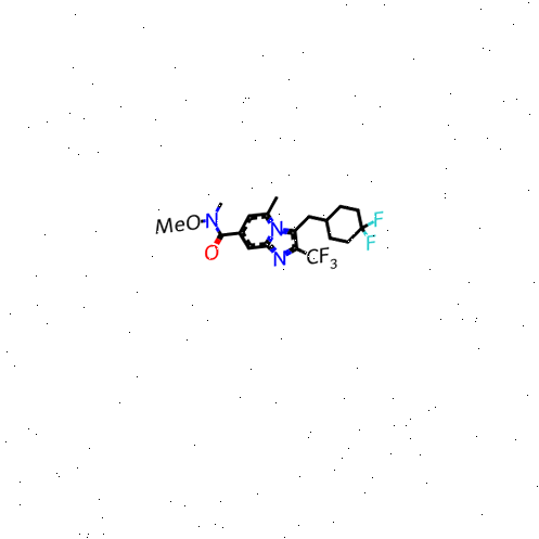 CON(C)C(=O)c1cc(C)n2c(CC3CCC(F)(F)CC3)c(C(F)(F)F)nc2c1